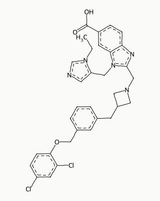 CCn1cncc1Cn1c(CN2CC(Cc3cccc(COc4ccc(Cl)cc4Cl)c3)C2)nc2ccc(C(=O)O)cc21